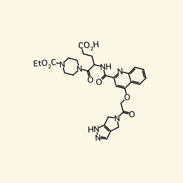 CCOC(=O)N1CCN(C(=O)C(CCC(=O)O)NC(=O)c2cc(OCC(=O)N3Cc4cn[nH]c4C3)c3ccccc3n2)CC1